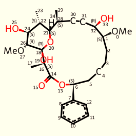 CO[C@H]1CCCC[C@@H](c2ccccc2)OC(=O)[C@@H](C)[C@@]2(O)O[C@H]([C@@H](C)[C@H](O)[C@H]2OC)[C@@H](C)CC[C@H]1O